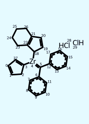 C1=CC[C]([Zr](=[C](c2ccccc2)c2ccccc2)[CH]2C=CC3=C2CCCC3)=C1.Cl.Cl